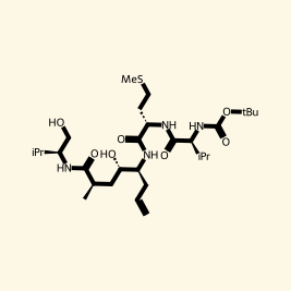 C=CC[C@H](NC(=O)[C@H](CCSC)NC(=O)[C@@H](NC(=O)OC(C)(C)C)C(C)C)[C@@H](O)C[C@@H](C)C(=O)N[C@H](CO)C(C)C